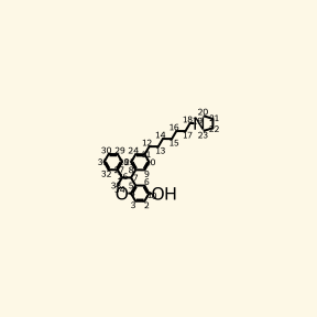 Oc1ccc2c(c1)C(c1ccc(CCCCCCCN3CCCC3)cc1)C(c1ccccc1)CO2